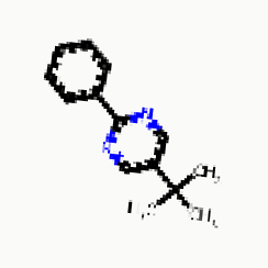 CC(C)(C)c1cnc(-c2ccccc2)nc1